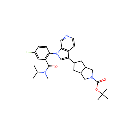 CC(C)N(C)C(=O)c1cc(F)ccc1-n1cc(C2CC3CN(C(=O)OC(C)(C)C)CC3C2)c2ccncc21